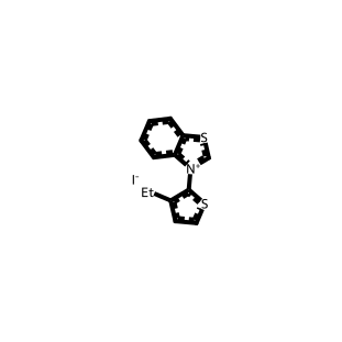 CCc1ccsc1-[n+]1csc2ccccc21.[I-]